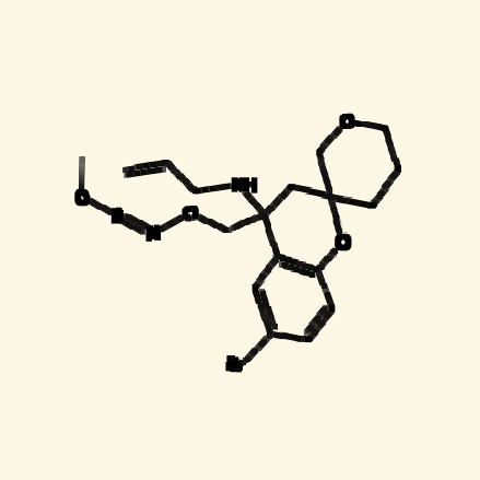 C=CCNC1(CON=BOC)CC2(CCCOC2)Oc2ccc(Br)cc21